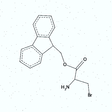 NC(CBr)C(=O)OCC1c2ccccc2-c2ccccc21